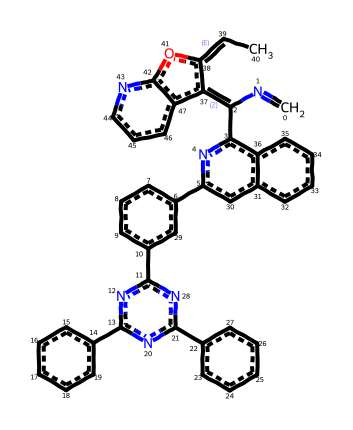 C=N/C(c1nc(-c2cccc(-c3nc(-c4ccccc4)nc(-c4ccccc4)n3)c2)cc2ccccc12)=c1\c(=C/C)oc2ncccc12